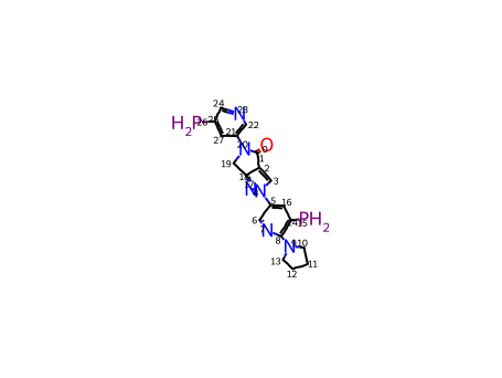 O=C1c2cn(-c3cnc(N4CCCC4)c(P)c3)nc2CN1c1cncc(P)c1